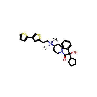 C[N+](C)(CCc1cc(-c2cccs2)cs1)C1CCN(C(=O)C(O)(c2ccccc2)C2CCCC2)CC1